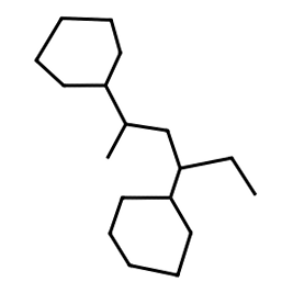 CCC(CC(C)C1CCCCC1)C1CCCCC1